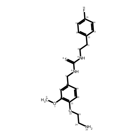 COc1cc(CNC(=S)NCCc2ccc(F)cc2)ccc1OCCN